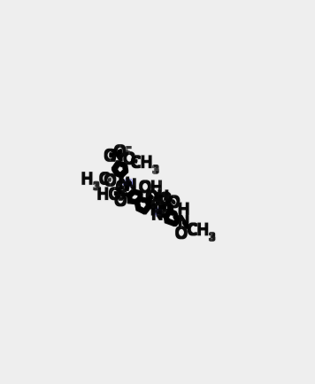 COc1cc([N+](=O)[O-])c(OC)cc1/N=N/c1c(S(=O)(=O)O)cc2ccc(/N=N/c3ccc(NC(C)=O)cc3S(=O)(=O)O)c(O)c2c1O